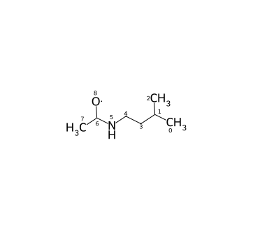 CC(C)CCNC(C)[O]